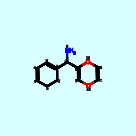 NC(C1=CC=CCC1)C1=COC=CO1